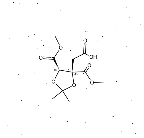 COC(=O)[C@@H]1OC(C)(C)O[C@@]1(CC(=O)O)C(=O)OC